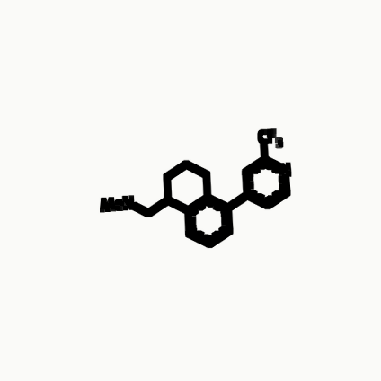 CNCC1CCCc2c(-c3ccnc(C(F)(F)F)c3)cccc21